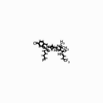 CC1(C)N=C(C23CC(N(Cc4ccc(Cl)cc4)S(=O)(=O)CCCCF)(C2)C3)N[C@H]1C(=O)NCCC(F)(F)F